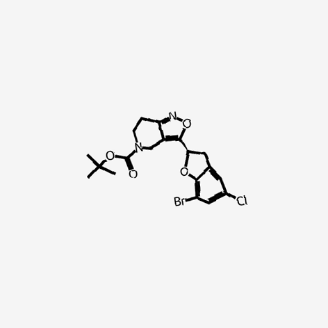 CC(C)(C)OC(=O)N1CCc2noc([C@H]3Cc4cc(Cl)cc(Br)c4O3)c2C1